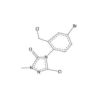 Cn1nc(Cl)n(-c2ccc(Br)cc2CCl)c1=O